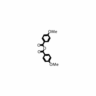 COc1ccc(C(=O)OC(=O)c2ccc(OC)cc2)cc1